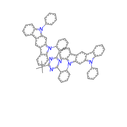 CC(C)(C)c1nc(-c2ccccc2-n2c3ccccc3c3cc4c5ccccc5n(-c5ccccc5)c4cc32)nc(-c2ccccc2-n2c3ccccc3c3cc4c5ccccc5n(-c5ccccc5)c4cc32)n1